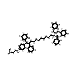 CN(C)CCOc1ccc(/C(=C(/CCCCCCCCCC[PH](Cc2ccccc2)(Cc2ccccc2)Cc2ccccc2)c2ccccc2)c2ccccc2)cc1